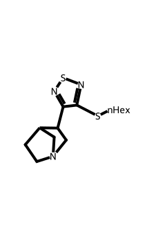 CCCCCCSc1nsnc1C1CN2CCC1C2